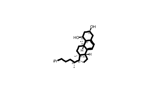 CC(C)CCC[C@@H](C)[C@H]1CC[C@H]2C3=CC=C4C[C@H](O)C[C@H](O)[C@]4(C)[C@H]3CC[C@]12C